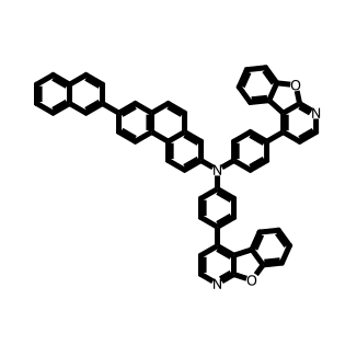 c1ccc2cc(-c3ccc4c(ccc5cc(N(c6ccc(-c7ccnc8oc9ccccc9c78)cc6)c6ccc(-c7ccnc8oc9ccccc9c78)cc6)ccc54)c3)ccc2c1